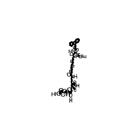 CC(C)(C)SSCC(NC(=O)OCC1c2ccccc2-c2ccccc21)C(=O)NCCOCCOCCOCC(=O)NC/C=C/c1cn([C@H]2CC(O)[C@@H](COP(=O)(O)O)O2)c(=O)[nH]c1=O